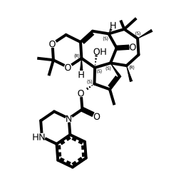 CC1=C[C@]23C(=O)[C@@H](C=C4COC(C)(C)O[C@H]4[C@]2(O)[C@H]1OC(=O)N1CCNc2ccccc21)C(C)(C)[C@@H](C)C[C@H]3C